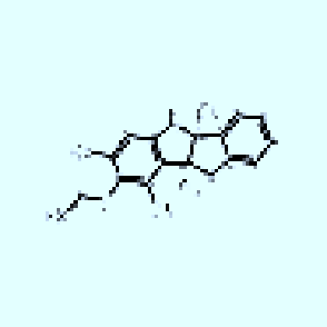 CCOc1c(C)cc2c(c1C)[C@]1(C)Cc3ccccc3[C@]1(C)N2